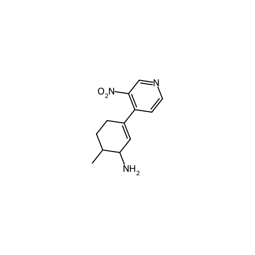 CC1CCC(c2ccncc2[N+](=O)[O-])=CC1N